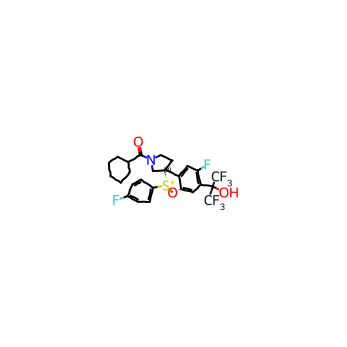 O=C(C1CCCCC1)N1CC[C@](c2ccc(C(O)(C(F)(F)F)C(F)(F)F)c(F)c2)([S+]([O-])c2ccc(F)cc2)C1